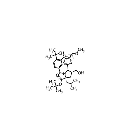 COCc1cnc([C@H]2[C@@H](CO)C[C@@](CC(C)C)(C(=O)OC(C)(C)C)N2C(=O)c2ccc(C(C)(C)C)c(OC)c2)s1